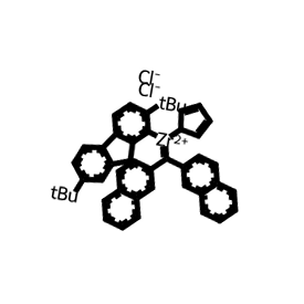 CC(C)(C)c1ccc2c(c1)Cc1c-2ccc(C(C)(C)C)[c]1[Zr+2](=[C](c1ccc2ccccc2c1)c1ccc2ccccc2c1)[CH]1C=CC=C1.[Cl-].[Cl-]